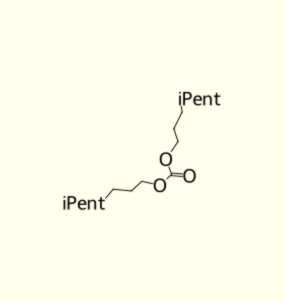 CCCC(C)CCCOC(=O)OCCCC(C)CCC